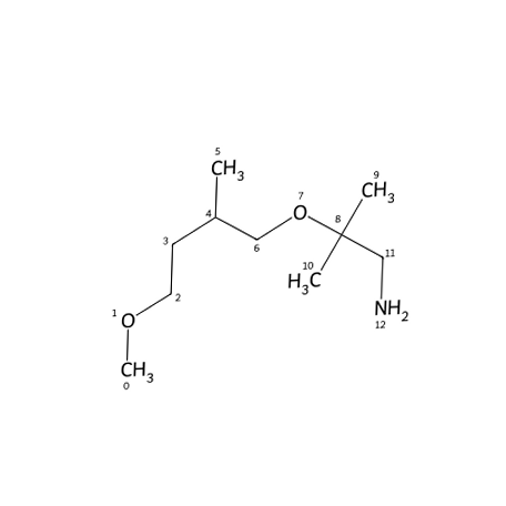 COCCC(C)COC(C)(C)CN